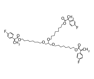 C=C(C(=O)OCCCCCCCCOCC(COCCCCCCCCOC(=O)C(=C)c1ccc(F)cc1)OCCCCCCCCOC(=O)C(=C)c1ccc(F)cc1)c1ccc(F)cc1